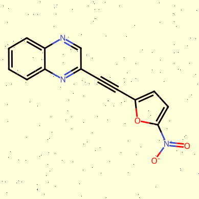 O=[N+]([O-])c1ccc(C#Cc2cnc3ccccc3n2)o1